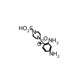 Nc1ccc(S(=O)(=O)N2CCN(C(=O)O)CC2)c(N)c1